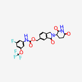 O=C1CCC(N2Cc3ccc(COC(=O)Nc4cc(F)cc(OC(F)(F)F)c4)cc3C2=O)C(=O)N1